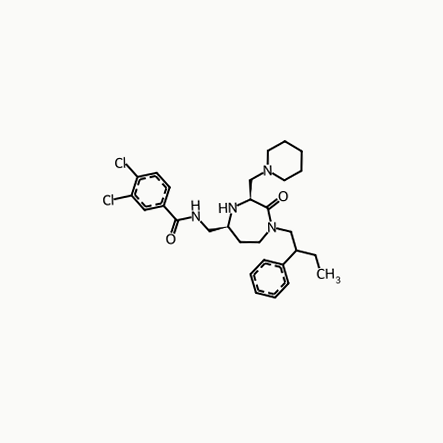 CCC(CN1CC[C@@H](CNC(=O)c2ccc(Cl)c(Cl)c2)N[C@@H](CN2CCCCC2)C1=O)c1ccccc1